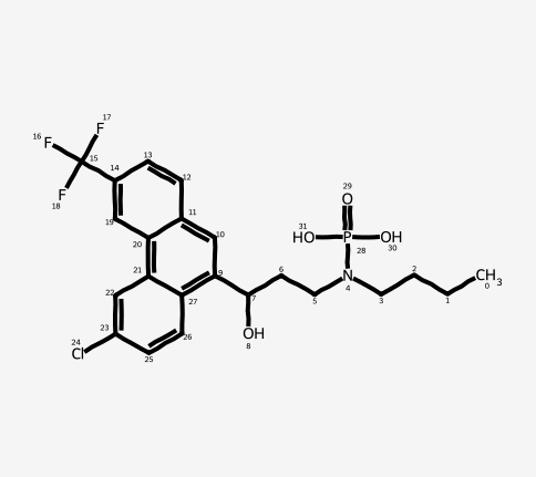 CCCCN(CCC(O)c1cc2ccc(C(F)(F)F)cc2c2cc(Cl)ccc12)P(=O)(O)O